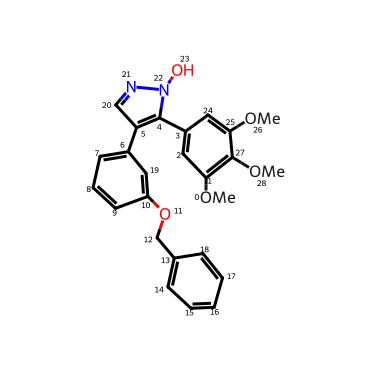 COc1cc(-c2c(-c3cccc(OCc4ccccc4)c3)cnn2O)cc(OC)c1OC